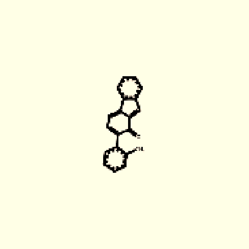 Cc1ccccc1C1=CC=C2C(=Cc3ccccc32)C1=O